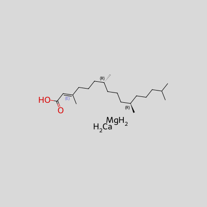 C/C(=C\C(=O)O)CCC[C@H](C)CCC[C@H](C)CCCC(C)C.[CaH2].[MgH2]